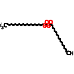 CCCCCCCCC=CCCCCCCCC(=O)OC(=O)OCCCCCCCCCCCCCCCCCCCC